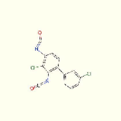 O=C=Nc1ccc(-c2cccc(Cl)c2)c(N=C=O)c1Cl